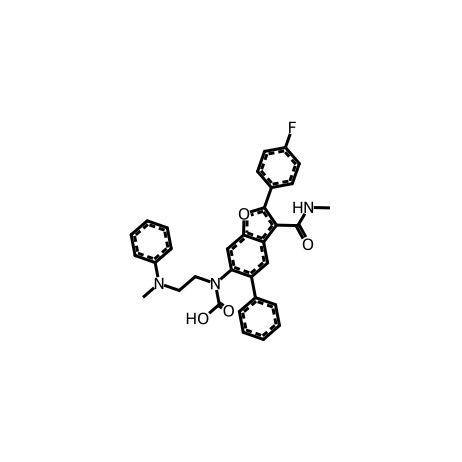 CNC(=O)c1c(-c2ccc(F)cc2)oc2cc(N(CCN(C)c3ccccc3)C(=O)O)c(-c3ccccc3)cc12